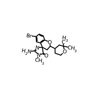 CN1C(=O)C2(CC(C3CCOC(C)(C)C3)Oc3ccc(Br)cc32)N=C1N